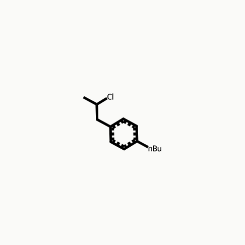 CCCCc1ccc(CC(C)Cl)cc1